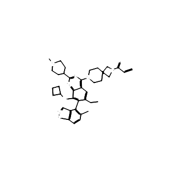 C=CC(=O)N1CC2(CCN(c3nc(C4CCN(C)CC4)nc4c(OC5CCC5)c(-c5c(C)ccc6[nH]ncc56)c(CC)cc34)CC2)C1